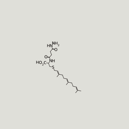 CC(C)=CCC/C(C)=C/CC/C(C)=C/CSCC(NC(=O)CCC(=O)NN)C(=O)O